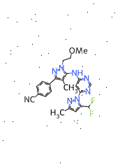 COCCn1nc(-c2ccc(C#N)cc2)c(C)c1Nc1cc(-n2nc(C)cc2C(F)F)ncn1